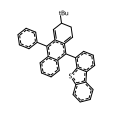 CC(C)(C)C1C=c2c(-c3ccccc3)c3ccccc3c(-c3cccc4c3sc3ccccc34)c2=CC1